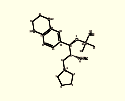 CC(=O)N[C@H](CN1CCCC1)[C@H](O[Si](C)(C)C(C)(C)C)c1ccc2c(c1)OCCO2